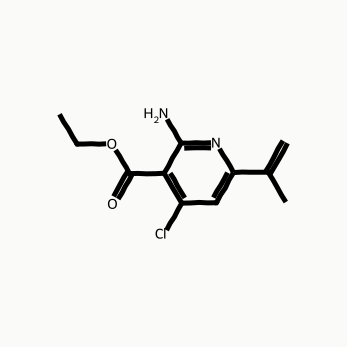 C=C(C)c1cc(Cl)c(C(=O)OCC)c(N)n1